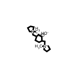 C[N+]1(CC2CCC(C[N+]3(C)CCCC3)CC2)CCCC1.[OH-].[OH-]